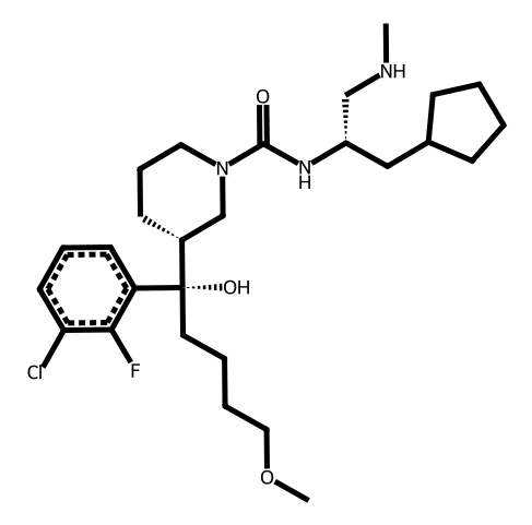 CNC[C@H](CC1CCCC1)NC(=O)N1CCC[C@@H]([C@@](O)(CCCCOC)c2cccc(Cl)c2F)C1